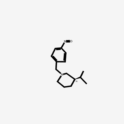 CC(C)[C@H]1CCCN(Cc2ccc(N=O)cc2)C1